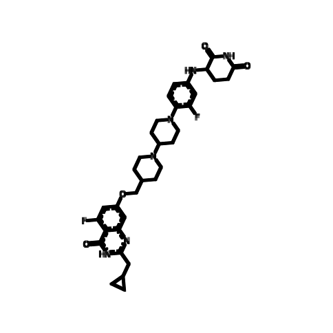 O=C1CCC(Nc2ccc(N3CCC(N4CCC(COc5cc(F)c6c(=O)[nH]c(CC7CC7)nc6c5)CC4)CC3)c(F)c2)C(=O)N1